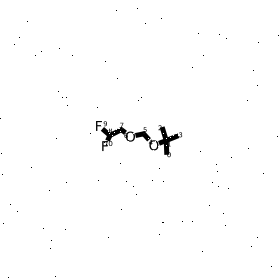 CC(C)(C)OCOCC(F)F